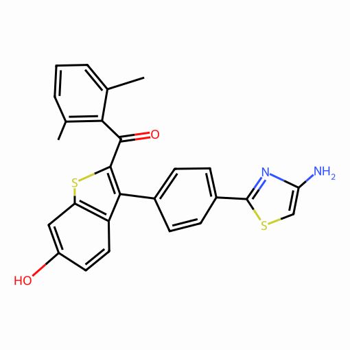 Cc1cccc(C)c1C(=O)c1sc2cc(O)ccc2c1-c1ccc(-c2nc(N)cs2)cc1